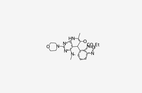 CCOC(=O)OC1=C(C)Nc2nc(N3CCOCC3)nc(N(C)C)c2C1c1cccc2nonc12